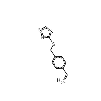 C=Cc1ccc(CSc2nncs2)cc1